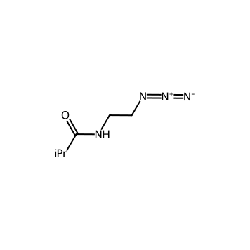 CC(C)C(=O)NCCN=[N+]=[N-]